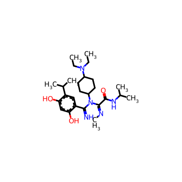 CCN(CC)C1CCC(N(C(=N)c2cc(C(C)C)c(O)cc2O)/C(=N\C)C(=O)NC(C)C)CC1